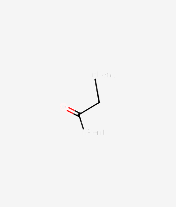 CCC[CH]CCC(=O)CCCCC